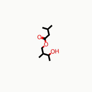 CC(C)CC(=O)OCC(C)C(C)O